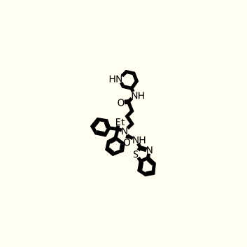 CCC(c1ccccc1)(c1ccccc1)N(CCCC(=O)NC1CCCNC1)C(=O)Nc1nc2ccccc2s1